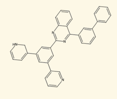 C1=CNCC(c2cc(-c3cccnc3)cc(-c3nc(-c4cccc(-c5ccccc5)c4)c4ccccc4n3)c2)=C1